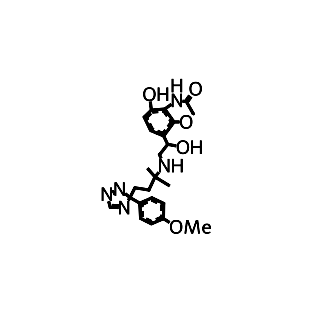 COc1ccc(C2(CCC(C)(C)NCC(O)c3ccc(O)c4c3OCC(=O)N4)N=CN=N2)cc1